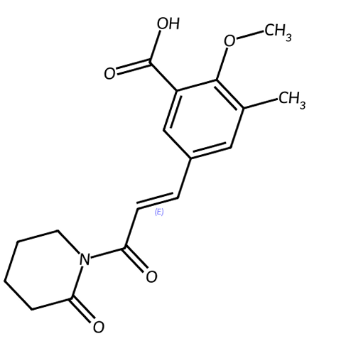 COc1c(C)cc(/C=C/C(=O)N2CCCCC2=O)cc1C(=O)O